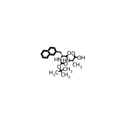 C[C@H](NC(=O)[C@H](Cc1ccc2ccccc2c1)NC(=O)OC(C)(C)C)C(=O)O